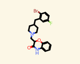 O=C1Nc2ccccc2OC1CN1CCC(Cc2cc(F)ccc2Br)CC1